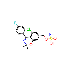 CC1(C)N=C(c2ccc(F)cc2)c2c(Cl)cc(COS(=N)(=O)O)cc2O1